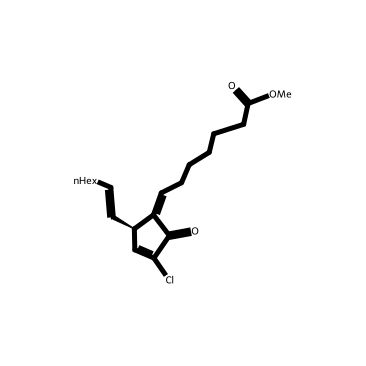 CCCCCCC=C[C@@H]1C=C(Cl)C(=O)C1=CCCCCCC(=O)OC